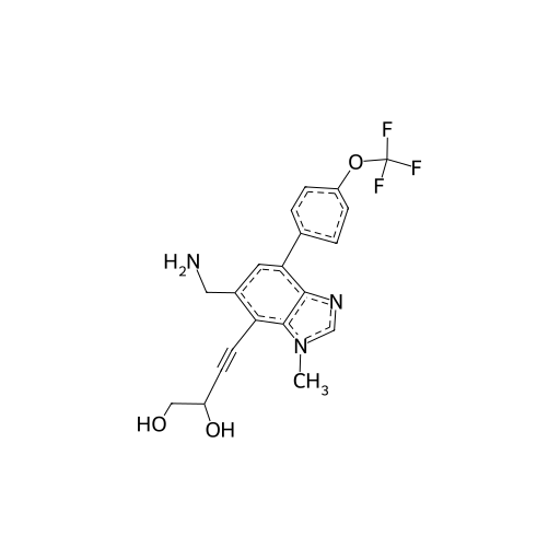 Cn1cnc2c(-c3ccc(OC(F)(F)F)cc3)cc(CN)c(C#CC(O)CO)c21